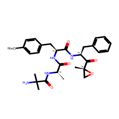 COc1ccc(C[C@H](NC(=O)[C@H](C)NC(=O)C(C)(C)N)C(=O)N[C@@H](Cc2ccccc2)C(=O)[C@@]2(C)CO2)cc1